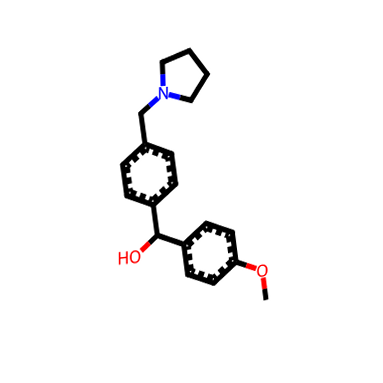 COc1ccc(C(O)c2ccc(CN3CCCC3)cc2)cc1